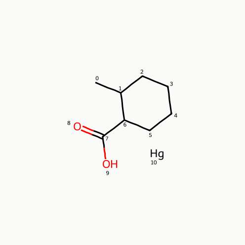 CC1CCCCC1C(=O)O.[Hg]